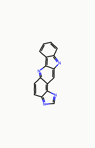 C1=Nc2c(ccc3nc4c(cc23)N=c2ccccc2=4)=N1